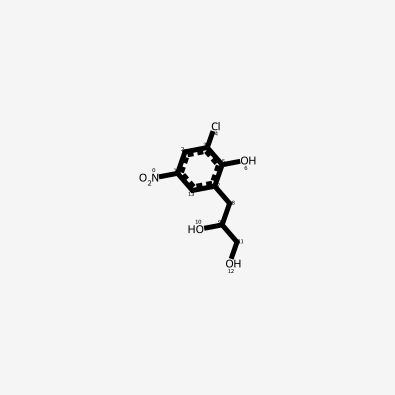 O=[N+]([O-])c1cc(Cl)c(O)c(CC(O)CO)c1